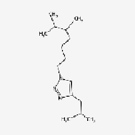 CC(C)Cc1cn(CCCCC(C)C(C)C)nn1